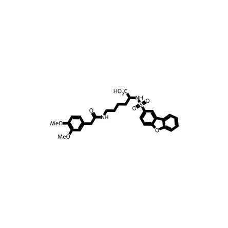 COc1ccc(CC(=O)NCCCCC(NS(=O)(=O)c2ccc3oc4ccccc4c3c2)C(=O)O)cc1OC